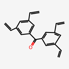 C=Cc1cc(C=C)cc(C(=O)c2cc(C=C)cc(C=C)c2)c1